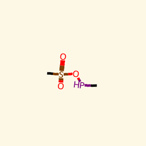 CPOS(C)(=O)=O